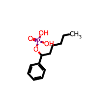 CCCCCC(OP(=O)(O)O)c1ccccc1